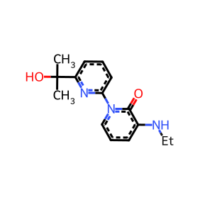 CCNc1cccn(-c2cccc(C(C)(C)O)n2)c1=O